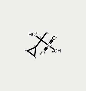 CC(O)(C1CC1)S(=O)(=O)O